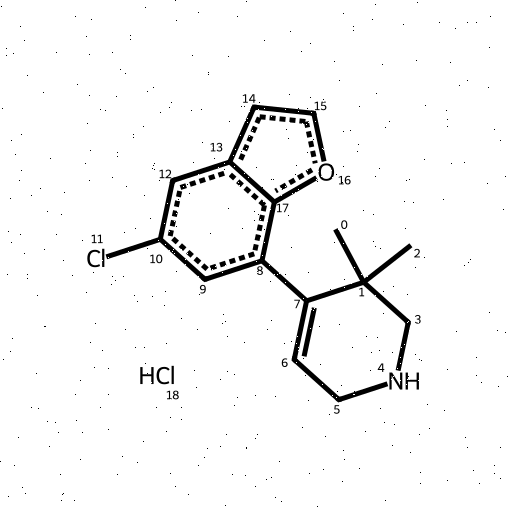 CC1(C)CNCC=C1c1cc(Cl)cc2ccoc12.Cl